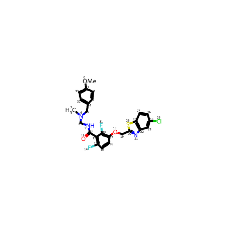 COc1ccc(CN(C)CNC(=O)c2c(F)ccc(OCc3nc4cc(Cl)ccc4s3)c2F)cc1